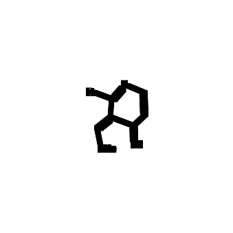 CCC1=NC=CC(=N)/C1=C\NC